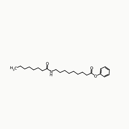 CCCCCCCC(=O)NCCCCCCCCC(=O)Oc1ccccc1